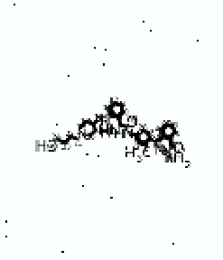 Cc1cc(NC(=O)C(=N)c2ccccc2NCC2CCN(CCCCO)CC2)ccc1-c1nn(N)c(=O)c2ccccc12